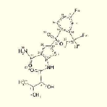 CC(C)C(O)C(=O)Nc1sc(S(=O)(=O)c2ccc(F)cc2C(F)(F)F)cc1C(N)=O